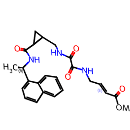 COC(=O)/C=C/CNC(=O)C(=O)NCC1CC1C(=O)N[C@H](C)c1cccc2ccccc12